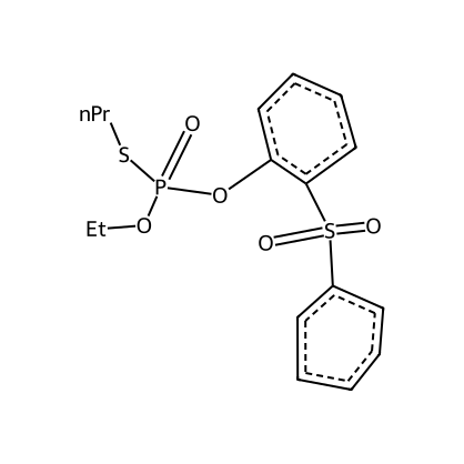 CCCSP(=O)(OCC)Oc1ccccc1S(=O)(=O)c1ccccc1